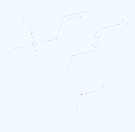 [2H]C([2H])(Cl)c1ccc(Br)cc1OC(F)F